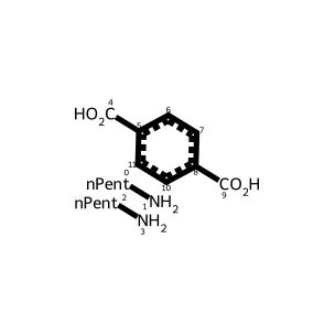 CCCCCN.CCCCCN.O=C(O)c1ccc(C(=O)O)cc1